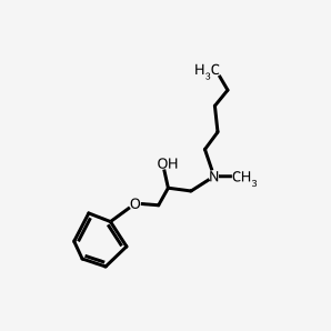 CCCCCN(C)CC(O)COc1ccccc1